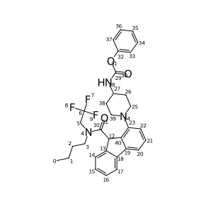 CCCCN(CC(F)(F)F)C(=O)C1c2ccccc2-c2cccc(N3CCC(NC(=O)Oc4ccccc4)CC3)c21